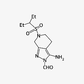 CCC(CC)S(=O)(=O)N1CCc2c(nn(C=O)c2N)C1